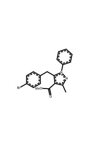 COC(=O)c1c(C)nn(-c2ccccc2)c1Cc1ccc(Br)cc1